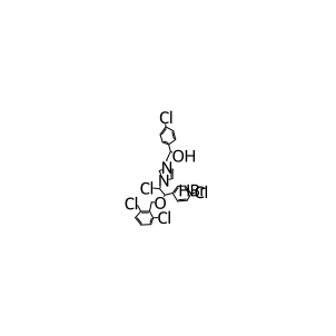 Br.OC(CN1C=CN(C(Cl)C(OCc2c(Cl)cccc2Cl)c2ccc(Cl)cc2)C1)c1ccc(Cl)cc1